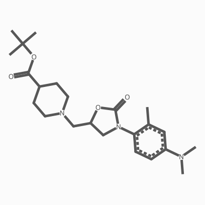 Cc1cc(N(C)C)ccc1N1CC(CN2CCC(C(=O)OC(C)(C)C)CC2)OC1=O